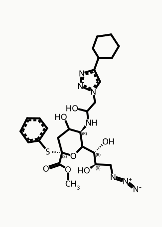 COC(=O)[C@@]1(Sc2ccccc2)CC(O)[C@@H](NC(O)Cn2cc(C3CCCCC3)nn2)C([C@H](O)[C@H](O)CN=[N+]=[N-])O1